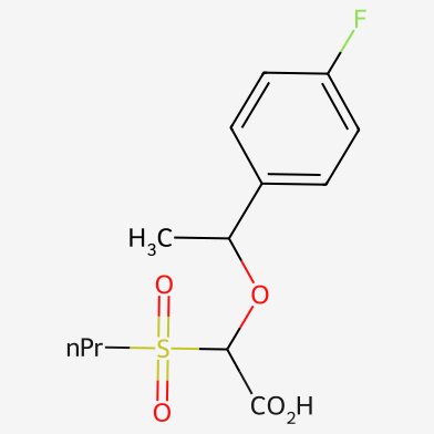 CCCS(=O)(=O)C(OC(C)c1ccc(F)cc1)C(=O)O